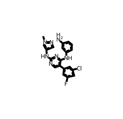 Cn1cc(Nc2ncc(-c3cc(F)cc(Cl)c3)c(Nc3cccc(N)c3)n2)cn1